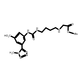 Cn1nnnc1-c1cc(NC(=O)NCCCCNCC(=O)OC(C)(C)C)cc(C(=O)O)c1